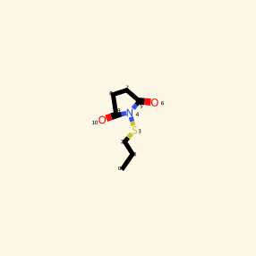 CCCSN1C(=O)CCC1=O